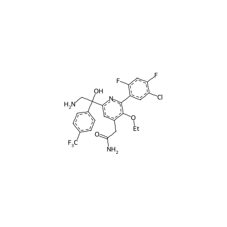 CCOc1c(CC(N)=O)cc(C(O)(CN)c2ccc(C(F)(F)F)cc2)nc1-c1cc(Cl)c(F)cc1F